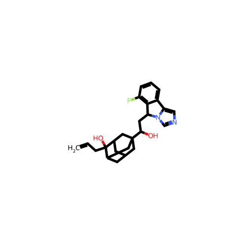 C=CCC1(O)C2CC3CC1CC(C(O)CC1c4c(F)cccc4-c4cncn41)(C3)C2